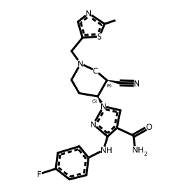 Cc1ncc(CN2CC[C@H](n3cc(C(N)=O)c(Nc4ccc(F)cc4)n3)[C@H](C#N)C2)s1